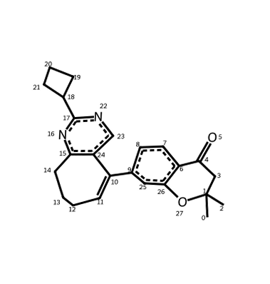 CC1(C)CC(=O)c2ccc(C3=CCCCc4nc(C5CCC5)ncc43)cc2O1